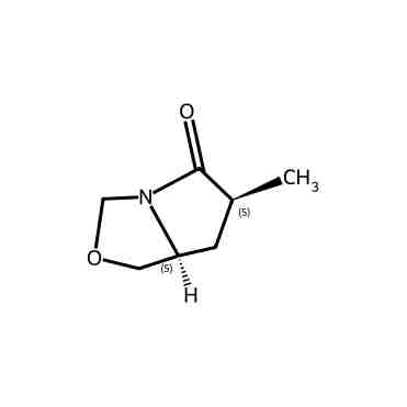 C[C@H]1C[C@H]2COCN2C1=O